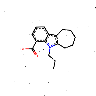 CCCn1c2c(c3cccc(C(=O)O)c31)CCCCC2